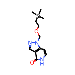 C[Si](C)(C)CCOCn1ncc2c(=O)[nH]ccc21